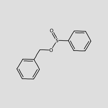 O=S(OCc1ccccc1)c1ccccc1